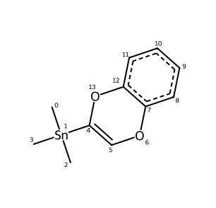 [CH3][Sn]([CH3])([CH3])[C]1=COc2ccccc2O1